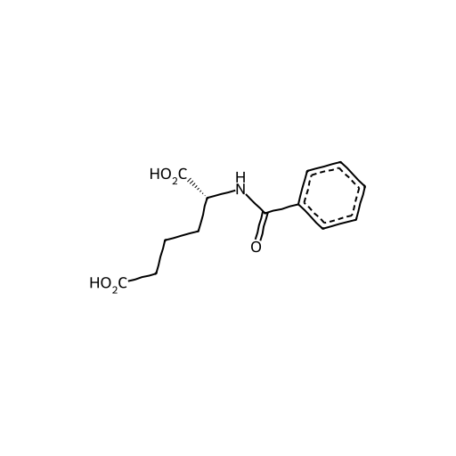 O=C(O)CCC[C@@H](NC(=O)c1ccccc1)C(=O)O